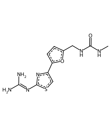 CNC(=O)NCc1ccc(-c2csc(N=C(N)N)n2)o1